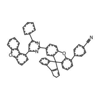 N#Cc1ccc(-c2cccc3c2Oc2ccc(-c4nc(-c5ccccc5)cc(-c5cccc6oc7ccccc7c56)n4)cc2C32C3=C(CCC=C3)c3ccccc32)cc1